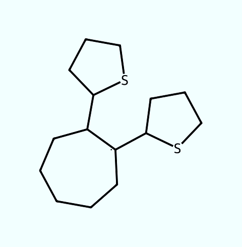 C1CC[C](C2CCCS2)C(C2CCCS2)CC1